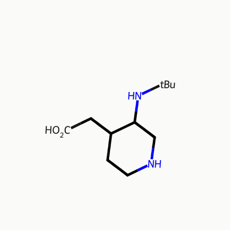 CC(C)(C)NC1CNCCC1CC(=O)O